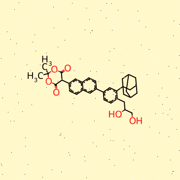 CC1(C)OC(=O)C(c2ccc3cc(-c4ccc(CC(O)CO)c(C56CC7CC(CC(C7)C5)C6)c4)ccc3c2)C(=O)O1